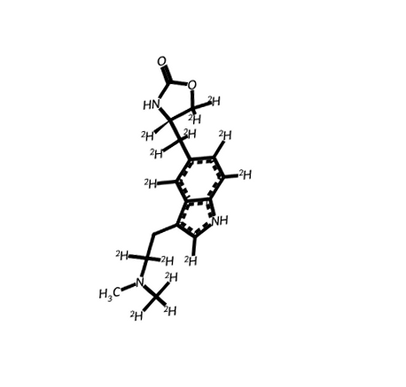 [2H]c1[nH]c2c([2H])c([2H])c(C([2H])([2H])[C@]3([2H])NC(=O)OC3([2H])[2H])c([2H])c2c1CC([2H])([2H])N(C)C([2H])([2H])[2H]